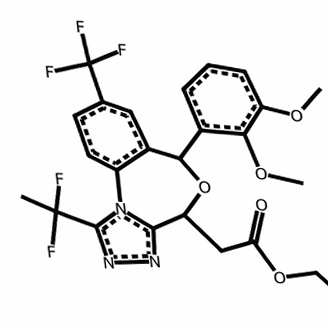 CCOC(=O)CC1OC(c2cccc(OC)c2OC)c2cc(C(F)(F)F)ccc2-n2c1nnc2C(C)(F)F